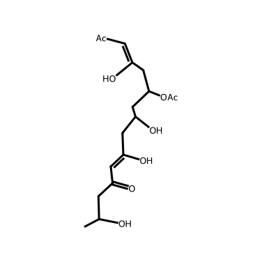 CC(=O)/C=C(\O)CC(CC(O)C/C(O)=C/C(=O)CC(C)O)OC(C)=O